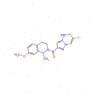 COc1ccc2c(c1)C(C)N(C(=O)c1cc3n(n1)C=C(Cl)CN3)CC2